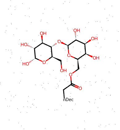 CCCCCCCCCCCC(=O)OC[C@H]1O[C@@H](O[C@H]2[C@H](O)[C@@H](O)[C@@H](O)O[C@@H]2CO)[C@H](O)[C@@H](O)[C@H]1O